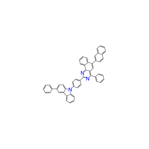 c1ccc(-c2ccc3c(c2)c2ccccc2n3-c2ccc(-c3nc(-c4ccccc4)c4cc(-c5ccc6ccccc6c5)c5ccccc5c4n3)cc2)cc1